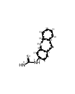 [NH]C(=S)Nc1ccc2cc3ccccc3cc2c1